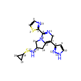 c1csc(C2=NCC(c3cc[nH]n3)=C3CC(NSC4CC4)CN23)n1